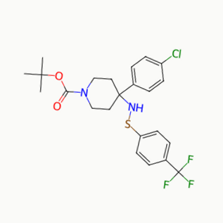 CC(C)(C)OC(=O)N1CCC(NSc2ccc(C(F)(F)F)cc2)(c2ccc(Cl)cc2)CC1